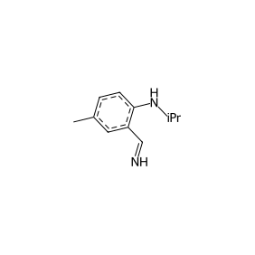 Cc1ccc(NC(C)C)c(C=N)c1